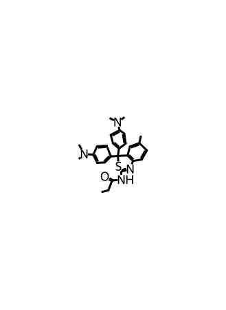 CCC(=O)NC1=Nc2ccc(C)cc2C(c2ccc(N(C)C)cc2)(c2ccc(N(C)C)cc2)S1